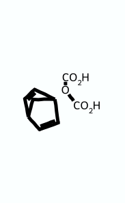 C1=CC2C=CC1C2.O=C(O)OC(=O)O